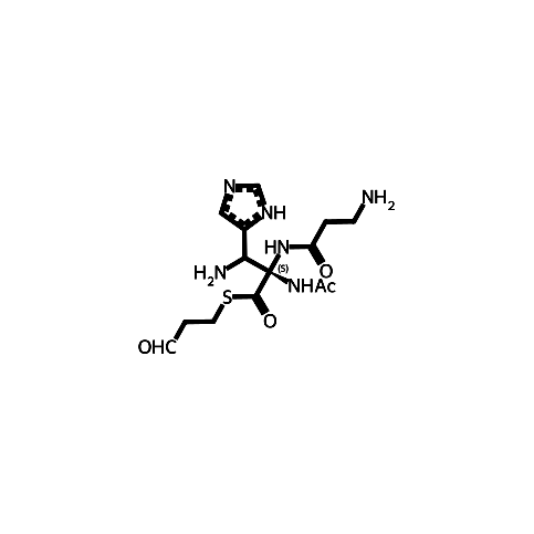 CC(=O)N[C@@](NC(=O)CCN)(C(=O)SCCC=O)C(N)c1cnc[nH]1